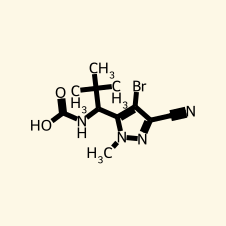 Cn1nc(C#N)c(Br)c1C(NC(=O)O)C(C)(C)C